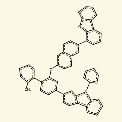 Cc1ccccc1-c1ccc(-c2ccc3c4ccccc4n(-c4ccccc4)c3c2)cc1Oc1ccc2cc(-c3cccc4c3oc3ccccc34)ccc2c1